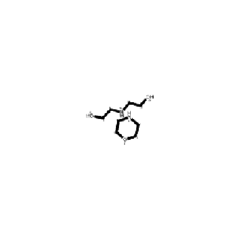 C1COCCN1.OCCNCCO